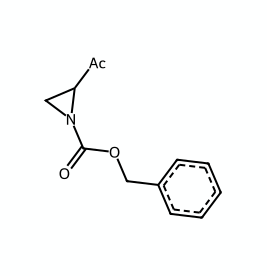 CC(=O)C1CN1C(=O)OCc1ccccc1